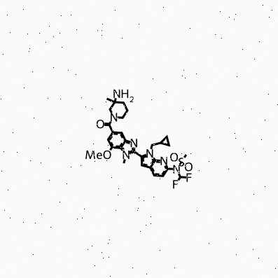 COc1cc(C(=O)N2CCCC(C)(N)C2)cc2nc(-c3cc4ccc(N(C(F)F)S(C)(=O)=O)nc4n3CC3CC3)n(C)c12